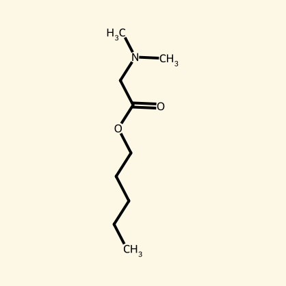 CCCCCOC(=O)CN(C)C